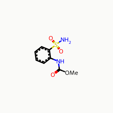 COC(=O)Nc1ccccc1S(N)(=O)=O